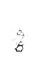 Cc1c(C)c2c(c(C)c1N)CC(C)(CSc1nc3ccccc3s1)O2.Cl